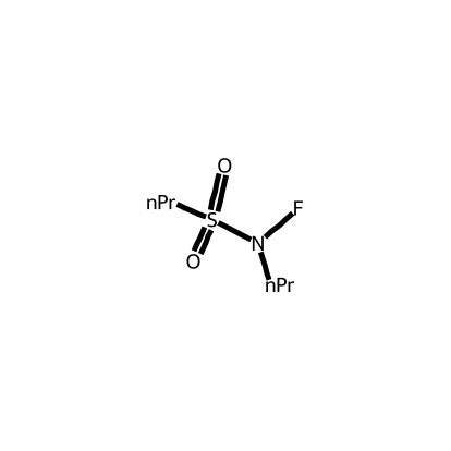 CCCN(F)S(=O)(=O)CCC